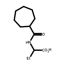 CCC(NC(=O)C1CCCCCC1)C(=O)O